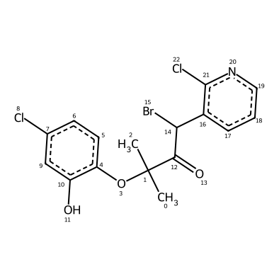 CC(C)(Oc1ccc(Cl)cc1O)C(=O)C(Br)c1cccnc1Cl